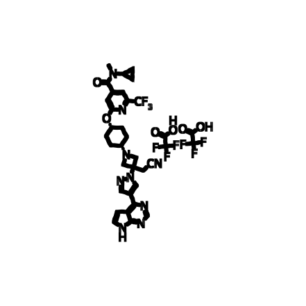 CN(C(=O)c1cc(O[C@H]2CC[C@@H](N3CC(CC#N)(n4cc(-c5ncnc6[nH]ccc56)cn4)C3)CC2)nc(C(F)(F)F)c1)C1CC1.O=C(O)C(F)(F)F.O=C(O)C(F)(F)F